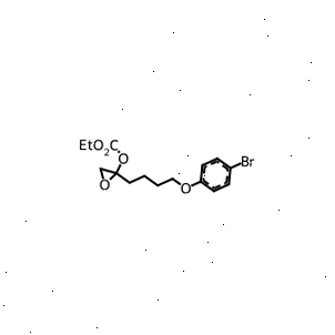 CCOC(=O)OC1(CCCCOc2ccc(Br)cc2)CO1